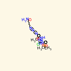 COc1cc(N2CCC(N3CCN(CCCCCC(N)=O)CC3)CC2)ccc1Nc1ncc(Cl)c(Nc2ccccc2S(=O)(=O)C(C)C)n1